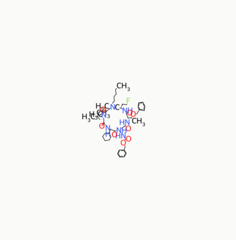 CCCCCCN1C[C@@H](CCF)NC(=O)[C@H]([C@H](C)OCc2ccccc2)NC(=O)[C@H](CNC(=O)OCc2ccccc2)NC(=O)C(C2CCCCC2)NC(=O)[C@H](CC(C)C)N(C)C(=O)[C@@H]1C